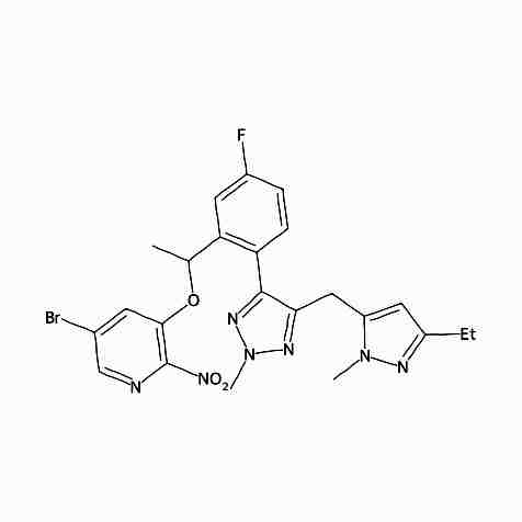 CCc1cc(Cc2nn(C)nc2-c2ccc(F)cc2C(C)Oc2cc(Br)cnc2[N+](=O)[O-])n(C)n1